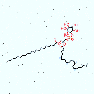 CCCCC/C=C\C/C=C\C/C=C\C/C=C\CCCC(=O)O[C@H](COC(=O)CCCCCCCCCCCCCCCCCCCCC)COP(=O)(O)OC1C(O)C(O)C(O)[C@@H](O)C1O